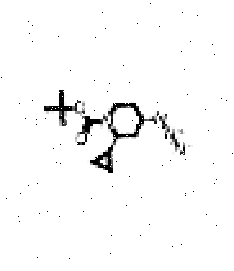 CC(C)(C)OC(=O)N1CC[C@@H](N=[N+]=[N-])C[C@H]1C1CC1